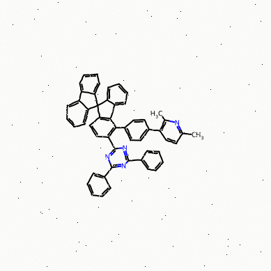 Cc1ccc(-c2ccc(-c3c(-c4nc(-c5ccccc5)nc(-c5ccccc5)n4)ccc4c3-c3ccccc3C43c4ccccc4-c4ccccc43)cc2)c(C)n1